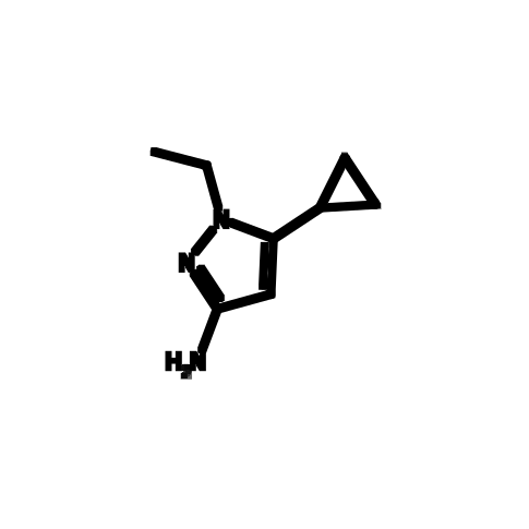 CCn1nc(N)cc1C1CC1